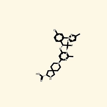 Cc1ccn(-c2cc(Cl)ccc2[C@@H](Oc2cc(N3CCC4(CC3)CN[C@H](C(=O)O)C4)nc(C)n2)C(F)(F)F)n1